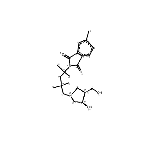 Cc1ccc2c(c1)C(=O)N(C(C)(C)CC(C)(C)CN1C[C@@H](CO)[C@@H](O)C1)C2=O